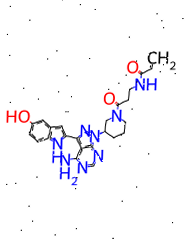 C=CC(=O)NCCC(=O)N1CCC[C@@H](n2nc(-c3cc4cc(O)ccc4[nH]3)c3c(N)ncnc32)C1